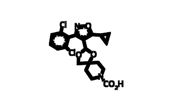 O=C(O)N1CCC2(CC1)COC(c1c(-c3c(Cl)cccc3Cl)noc1C1CC1)O2